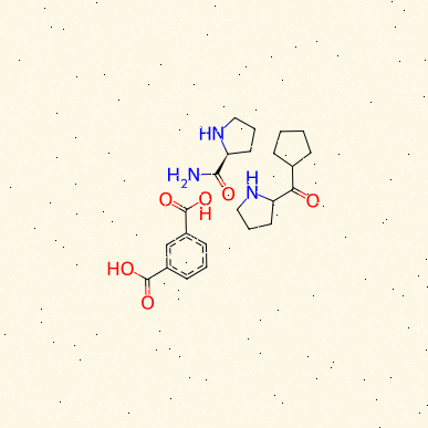 NC(=O)[C@@H]1CCCN1.O=C(C1CCCC1)C1CCCN1.O=C(O)c1cccc(C(=O)O)c1